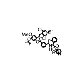 COc1cc(C(Cc2c(Cl)c[n+]([O-])cc2Cl)OC(=O)c2cccc(CNC(C(=O)O[C@H]3CN4CCC3CC4)c3ccccc3F)c2)ccc1OC(F)F